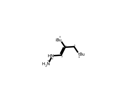 CCC(C)/C(=C\NN)CC(C)(C)C